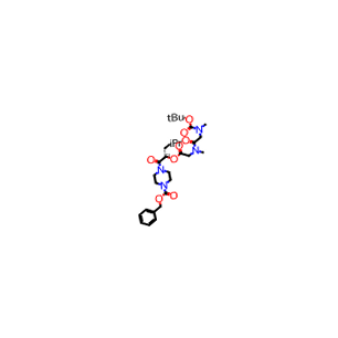 CC(C)C[C@H](OC(=O)CN(C)C(=O)CN(C)C(=O)OC(C)(C)C)C(=O)N1CCN(C(=O)OCc2ccccc2)CC1